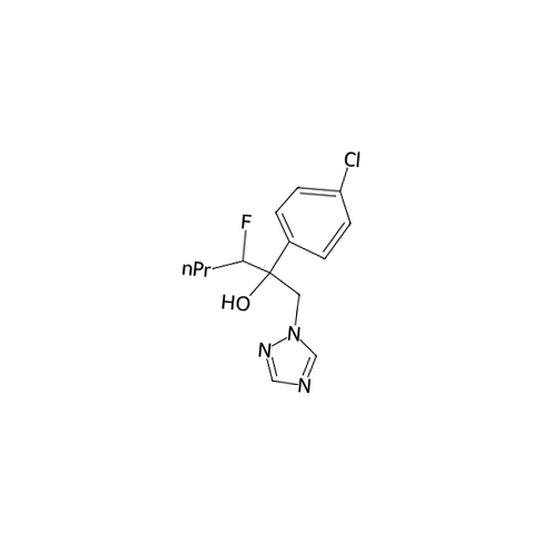 CCCC(F)C(O)(Cn1cncn1)c1ccc(Cl)cc1